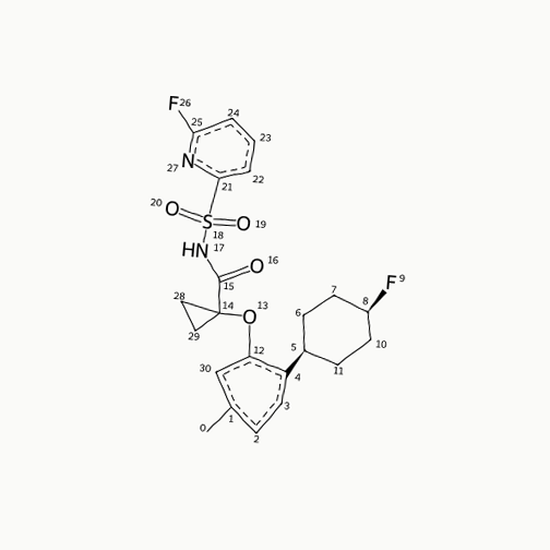 Cc1ccc([C@H]2CC[C@@H](F)CC2)c(OC2(C(=O)NS(=O)(=O)c3cccc(F)n3)CC2)c1